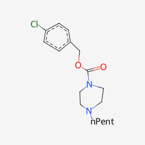 [CH2]CCCCN1CCN(C(=O)OCc2ccc(Cl)cc2)CC1